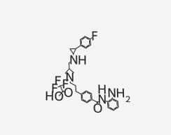 Nc1ccccc1NC(=O)c1ccc(CCCN2CC(CNC3CC3c3ccc(F)cc3)C2)cc1.O=C(O)C(F)(F)F